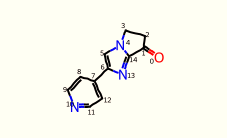 O=C1CCn2cc(-c3ccncc3)nc21